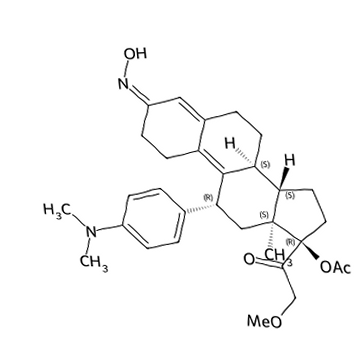 COCC(=O)[C@@]1(OC(C)=O)CC[C@H]2[C@@H]3CCC4=CC(=NO)CCC4=C3[C@@H](c3ccc(N(C)C)cc3)C[C@@]21C